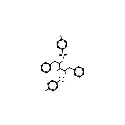 Cc1ccc(S(=O)(=O)NC(Cc2ccccc2)C(O)C(Cc2ccccc2)NS(=O)(=O)c2ccc(C)cc2)cc1